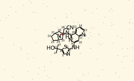 CC(C)(O)c1cnc(Nc2cc3ncccc3c(NC3CC4CCC(C3)N4CCC#N)n2)s1